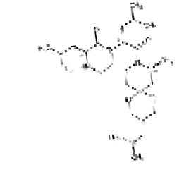 CC(C)C[C@@H]1NCCN([C@@H](CC(C)C)C(=O)N2CCC3(C[C@@H]2C)OCC(CN(C)C)CO3)C1=O